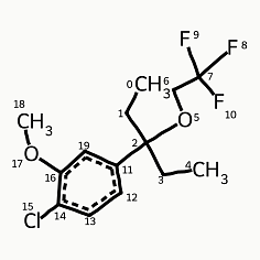 CCC(CC)(OCC(F)(F)F)c1ccc(Cl)c(OC)c1